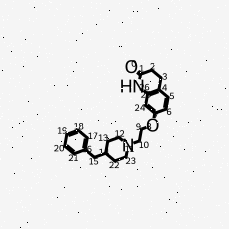 O=C1CCc2ccc(OCCN3CCC(Cc4ccccc4)CC3)cc2N1